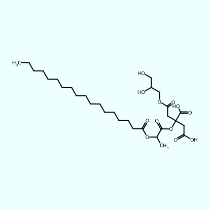 CCCCCCCCCCCCCCCCCC(=O)OC(C)C(=O)OC(CC(=O)O)(CC(=O)OCC(O)CO)C(=O)O